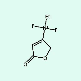 CC[N+](F)(F)C1=CC(=O)OC1